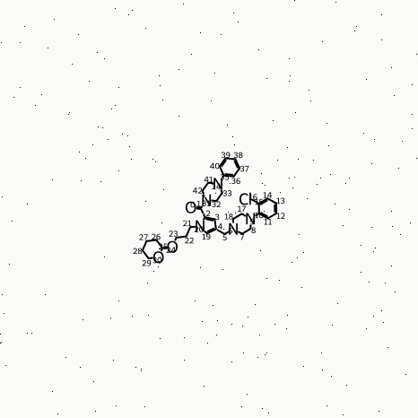 O=C(c1cc(CN2CCN(c3ccccc3Cl)CC2)cn1CCCOC1CCCCO1)N1CCN(c2ccccc2)CC1